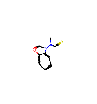 CN([C]=S)N1COc2ccccc21